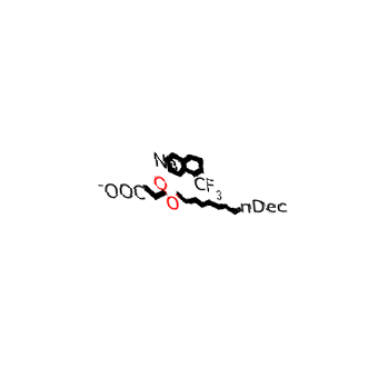 CCCCCCCCCCCCCCCCCCOC(=O)/C=C/C(=O)[O-].FC(F)(F)C1CCCC2CCCCC21.[Na+]